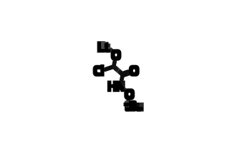 CCOC(Cl)C(=O)NOC(C)(C)C